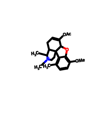 COc1ccc(C)c2c1OC1C(OC(C)=O)=CCC3C(C)N(C)CCC213